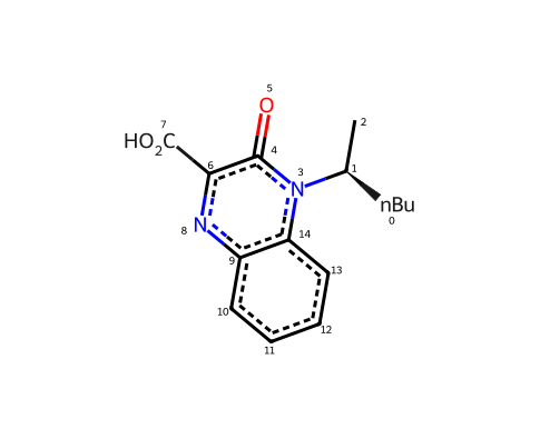 CCCC[C@H](C)n1c(=O)c(C(=O)O)nc2ccccc21